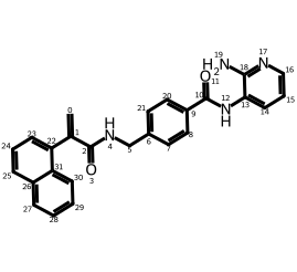 C=C(C(=O)NCc1ccc(C(=O)Nc2cccnc2N)cc1)c1cccc2ccccc12